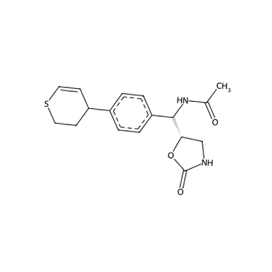 CC(=O)NC(c1ccc(C2C=CSCC2)cc1)[C@@H]1CNC(=O)O1